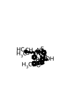 C#CC(C)(C)OCCCC(c1cccc(Br)c1)n1cnc(-c2cc(Oc3c(F)cc4c(ccn4S(=O)(=O)c4ccc(C)cc4)c3CO)ccc2F)n1